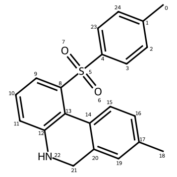 Cc1ccc(S(=O)(=O)c2cccc3c2-c2ccc(C)cc2CN3)cc1